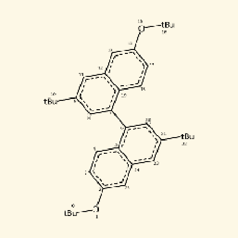 CC(C)(C)Oc1ccc2c(-c3[c]c(C(C)(C)C)cc4cc(OC(C)(C)C)ccc34)[c]c(C(C)(C)C)cc2c1